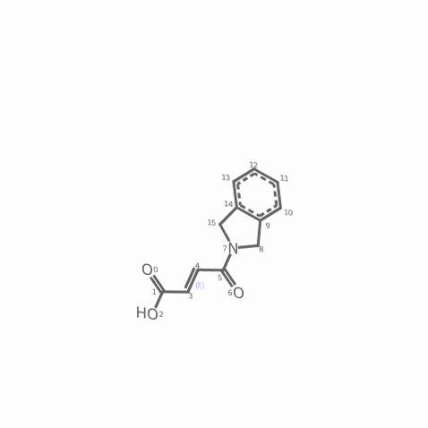 O=C(O)/C=C/C(=O)N1Cc2ccccc2C1